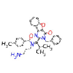 Cc1ccc(C(=O)N(CCCN)[C@@H](c2nc3c(oc4ccccc43)c(=O)n2Cc2ccccc2)C(C)C)cc1